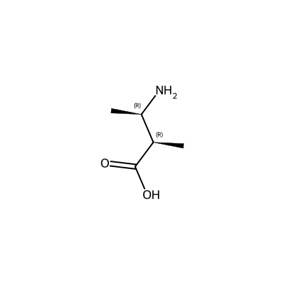 C[C@@H](N)[C@@H](C)C(=O)O